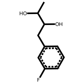 CC(O)C(O)Cc1cc[c]c(F)c1